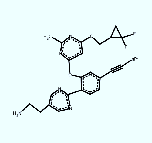 CCCC#Cc1ccc(-c2ncc(CCN)cn2)c(Oc2cc(OCC3CC3(F)F)nc(C)n2)c1